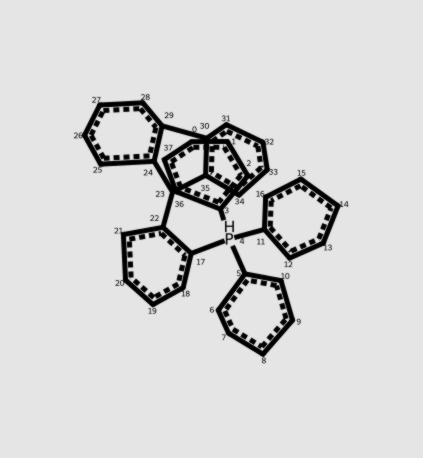 c1ccc([PH](c2ccccc2)(c2ccccc2)c2ccccc2C2c3ccccc3-c3ccccc32)cc1